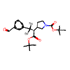 [2H]C([2H])(c1cccc(C=O)c1)[C@H](C(=O)OC(C)(C)C)[C@H]1CCN(C(=O)OC(C)(C)C)C1